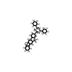 CC1(C)c2cc(-c3nc(-c4ccccc4)nc(-c4ccccc4)n3)ccc2-c2cc3oc4ccccc4c3cc21